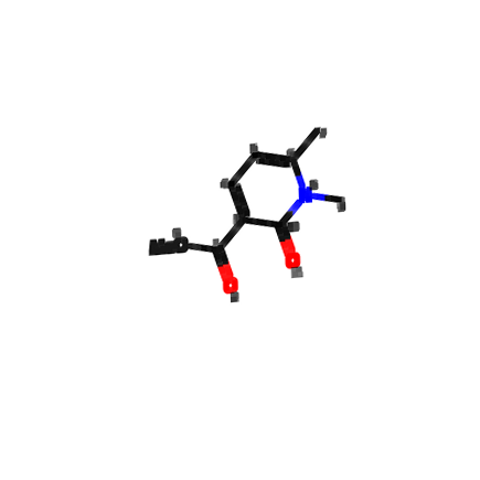 COC(=O)c1ccc(C)n(C)c1=O